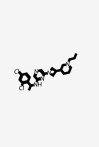 CCCN1CCCC(C2CN(c3cncc(NC(C)c4ccc(Cl)cc4Cl)n3)C2)C1